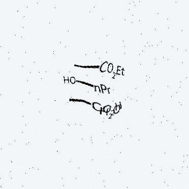 CC(=O)O.CCCO.CCOC(C)=O.O